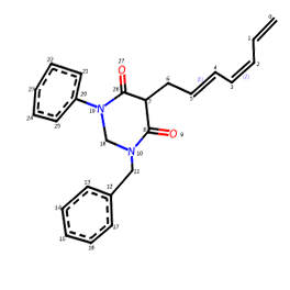 C=C/C=C\C=C\CC1C(=O)N(Cc2ccccc2)CN(c2ccccc2)C1=O